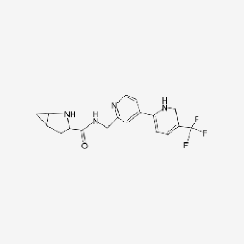 O=C(NCc1cc(C2=CC=C(C(F)(F)F)CN2)ccn1)C1CC2CC2N1